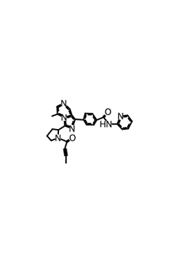 CC#CC(=O)N1CCCC1c1nc(-c2ccc(C(=O)Nc3ccccn3)cc2)c2cncc(C)n12